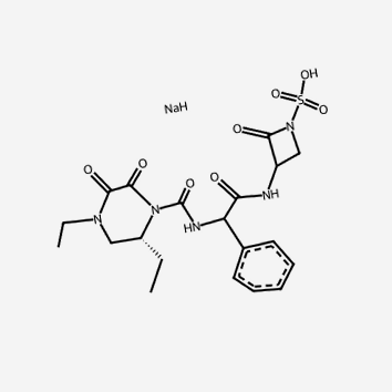 CC[C@@H]1CN(CC)C(=O)C(=O)N1C(=O)NC(C(=O)NC1CN(S(=O)(=O)O)C1=O)c1ccccc1.[NaH]